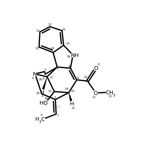 C/C=C1\CN2CCC34C(=C(C(=O)OC)[C@H]1C(O)[C@H]23)Nc1ccccc14